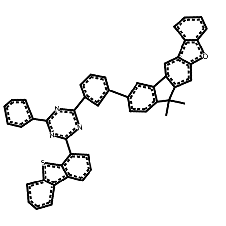 CC1(C)c2ccc(-c3cccc(-c4nc(-c5ccccc5)nc(-c5cccc6c5sc5ccccc56)n4)c3)cc2-c2cc3c(cc21)oc1ccccc13